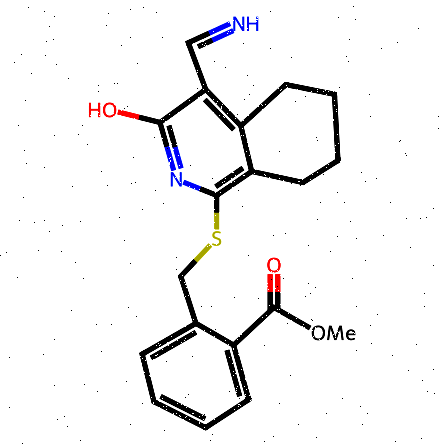 COC(=O)c1ccccc1CSc1nc(O)c(C=N)c2c1CCCC2